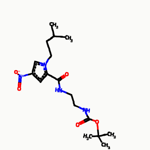 CC(C)CCn1cc([N+](=O)[O-])cc1C(=O)NCCNC(=O)OC(C)(C)C